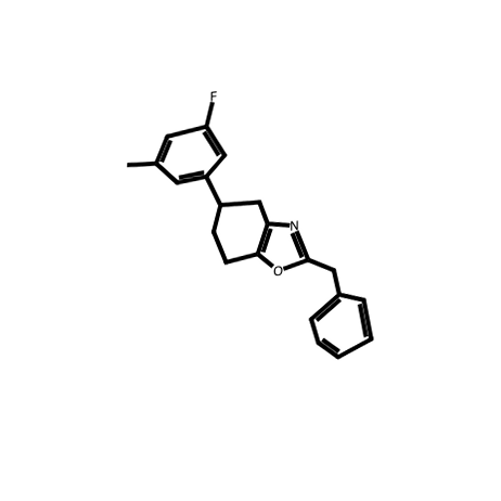 Cc1cc(F)cc(C2CCc3oc(Cc4ccccc4)nc3C2)c1